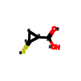 O=C(O)C1CC1=S